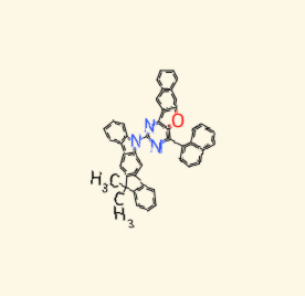 CC1(C)c2ccccc2-c2cc3c(cc21)c1ccccc1n3-c1nc(-c2cccc3ccccc23)c2oc3cc4ccccc4cc3c2n1